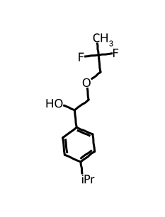 CC(C)c1ccc(C(O)COCC(C)(F)F)cc1